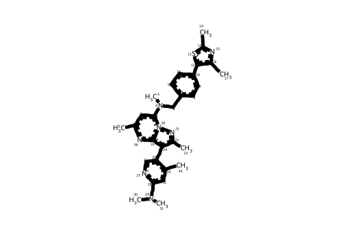 Cc1cc(N(C)Cc2ccc(-c3sc(C)nc3C)cc2)n2nc(C)c(-c3cnc(N(C)C)cc3C)c2n1